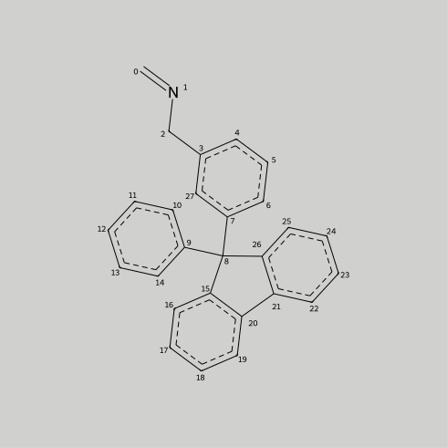 C=NCc1cccc(C2(c3ccccc3)c3ccccc3-c3ccccc32)c1